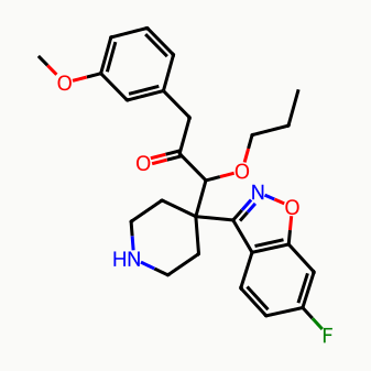 CCCOC(C(=O)Cc1cccc(OC)c1)C1(c2noc3cc(F)ccc23)CCNCC1